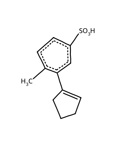 Cc1ccc(S(=O)(=O)O)cc1C1=CCCC1